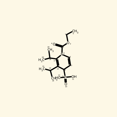 CCOC(=O)N1C=CC(P(=O)(O)O)C(C(C)C)=C1C(C)C